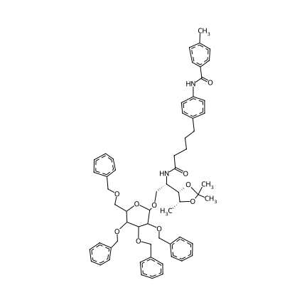 Cc1ccc(C(=O)Nc2ccc(CCCCC(=O)N[C@@H](COC3OC(COCc4ccccc4)C(OCc4ccccc4)C(OCc4ccccc4)C3OCc3ccccc3)[C@@H]3OC(C)(C)O[C@@H]3C)cc2)cc1